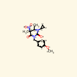 COc1ccc(CN2C(=O)N(C3CC3)C(C)C(C)([N+](=O)[O-])C2=O)cc1